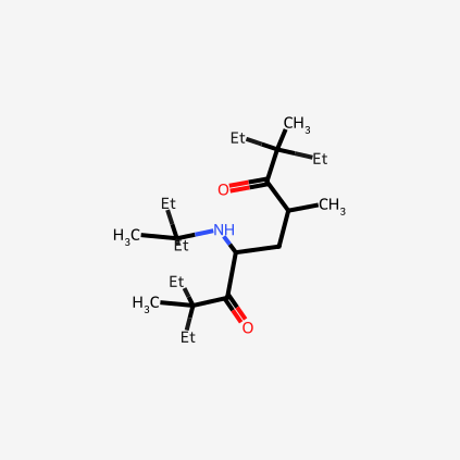 CCC(C)(CC)NC(CC(C)C(=O)C(C)(CC)CC)C(=O)C(C)(CC)CC